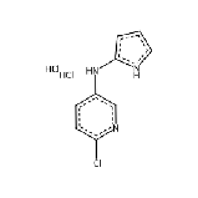 Cl.Cl.Clc1ccc(Nc2ccc[nH]2)cn1